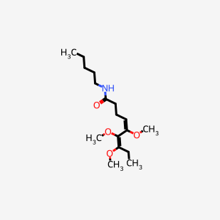 CCCCCNC(=O)CC/C=C(OC)\C(OC)=C(/CC)OC